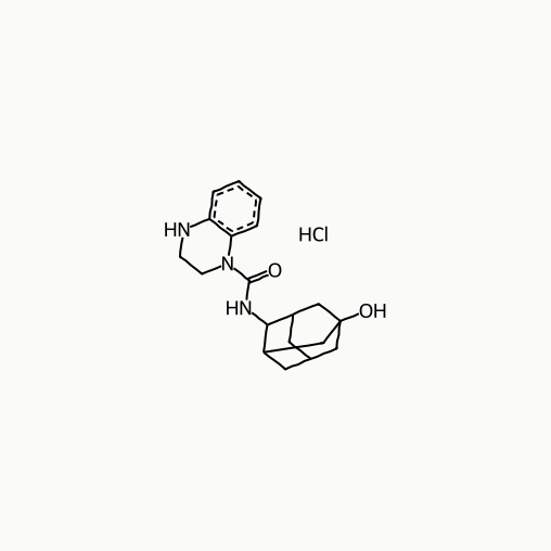 Cl.O=C(NC1C2CC3CC1CC(O)(C3)C2)N1CCNc2ccccc21